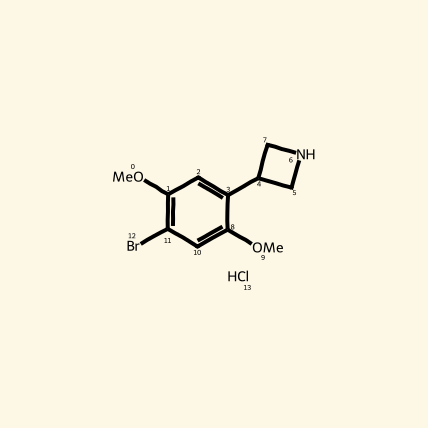 COc1cc(C2CNC2)c(OC)cc1Br.Cl